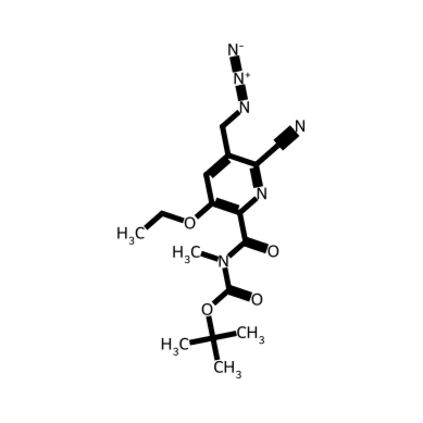 CCOc1cc(CN=[N+]=[N-])c(C#N)nc1C(=O)N(C)C(=O)OC(C)(C)C